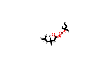 CCC(C)(C)OOOC(=O)CC(C)(C)CC(C)C